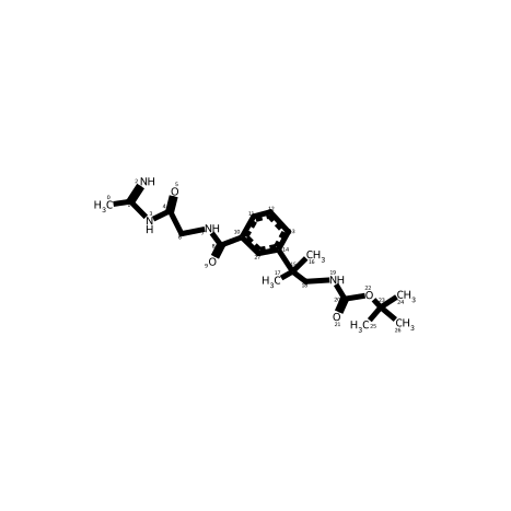 CC(=N)NC(=O)CNC(=O)c1cccc(C(C)(C)CNC(=O)OC(C)(C)C)c1